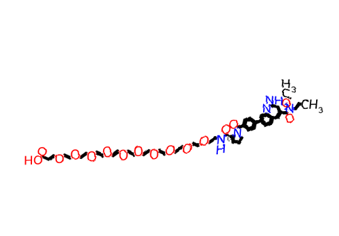 CCCN(OCC)C(=O)C1=Cc2ccc(-c3ccc(C(=O)N4CCC[C@H]4C(=O)NCCOCCOCCOCCOCCOCCOCCOCCOCCOCCOCCC(=O)O)cc3)cc2N=C(N)C1